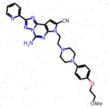 COCCOc1ccc(N2CCN(CCn3c(C#N)cc4c3nc(N)n3nc(-c5ccccn5)nc43)CC2)cc1